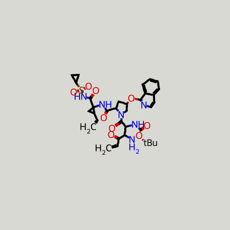 C=CC(=O)C(N)C(NC(=O)OC(C)(C)C)C(=O)N1CC(Oc2nccc3ccccc23)CC1C(=O)NC1(C(=O)NS(=O)(=O)C2CC2)CC1C=C